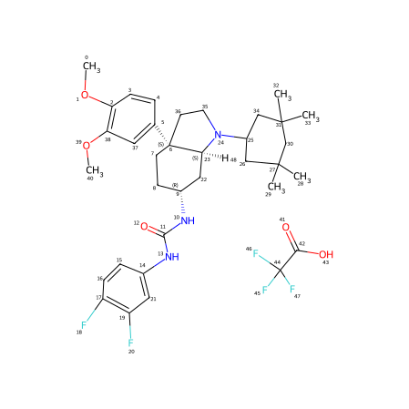 COc1ccc([C@@]23CC[C@@H](NC(=O)Nc4ccc(F)c(F)c4)C[C@@H]2N(C2CC(C)(C)CC(C)(C)C2)CC3)cc1OC.O=C(O)C(F)(F)F